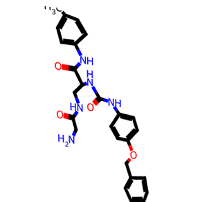 Cc1ccc(NC(=O)C(CNC(=O)CN)NC(=O)Nc2ccc(OCc3ccccc3)cc2)cc1